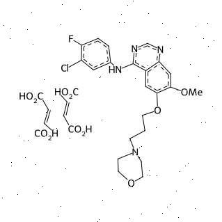 COc1cc2ncnc(Nc3ccc(F)c(Cl)c3)c2cc1OCCCN1CCOCC1.O=C(O)/C=C/C(=O)O.O=C(O)/C=C/C(=O)O